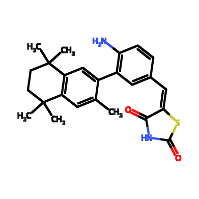 Cc1cc2c(cc1-c1cc(C=C3SC(=O)NC3=O)ccc1N)C(C)(C)CCC2(C)C